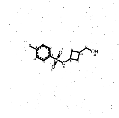 Cc1ccc(S(=O)(=O)OC2CC(CO)C2)cc1